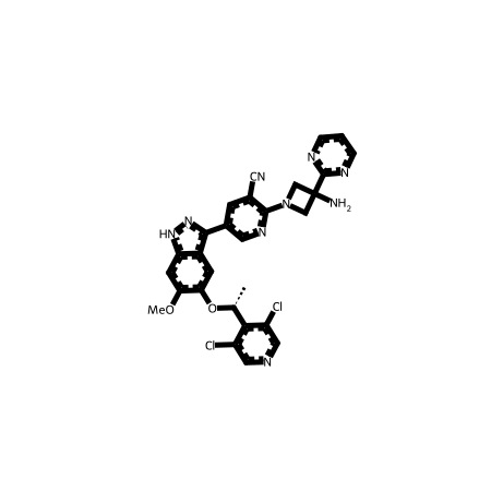 COc1cc2[nH]nc(-c3cnc(N4CC(N)(c5ncccn5)C4)c(C#N)c3)c2cc1O[C@H](C)c1c(Cl)cncc1Cl